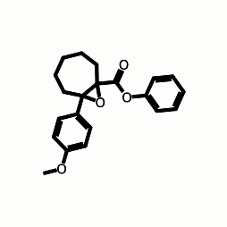 COc1ccc(C23CCCCCC2(C(=O)Oc2ccccc2)O3)cc1